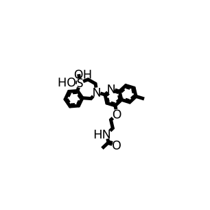 CC(=O)NCCOc1cc(N2CCS(O)(O)c3ccccc3C2)nc2ccc(C)cc12